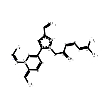 C=Cc1cc(C2=CN(/N=C\C(C)C)/C(=C/C)C=C2)n(CC(=C)/C=C\C=C(C)C)n1